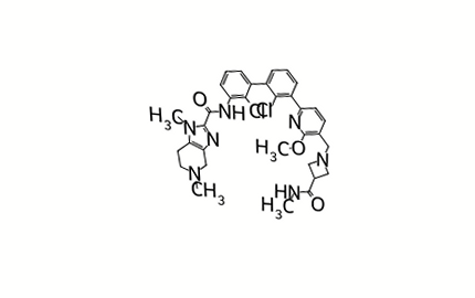 CNC(=O)C1CN(Cc2ccc(-c3cccc(-c4cccc(NC(=O)c5nc6c(n5C)CCN(C)C6)c4Cl)c3Cl)nc2OC)C1